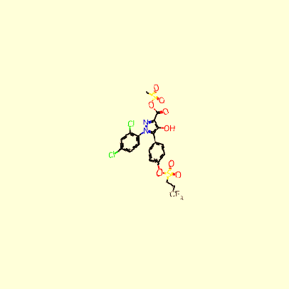 CS(=O)(=O)OC(=O)c1nn(-c2ccc(Cl)cc2Cl)c(-c2ccc(OS(=O)(=O)CCC(F)(F)F)cc2)c1O